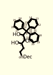 CCCCCCCCCCCCC(O)C(O)C(O)C(c1ccccc1)(c1ccccc1)c1ccccc1